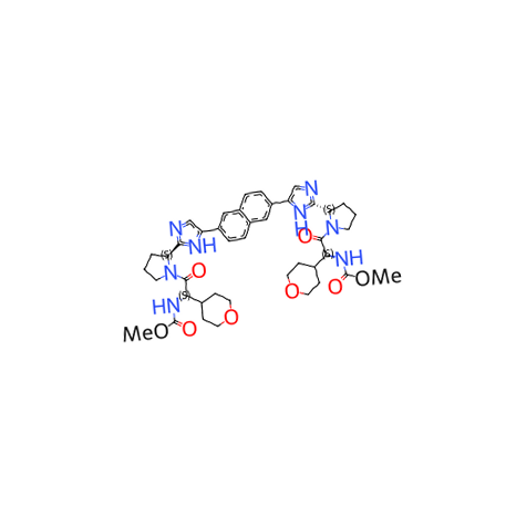 COC(=O)N[C@H](C(=O)N1CCC[C@H]1c1ncc(-c2ccc3cc(-c4cnc([C@@H]5CCCN5C(=O)[C@@H](NC(=O)OC)C5CCOCC5)[nH]4)ccc3c2)[nH]1)C1CCOCC1